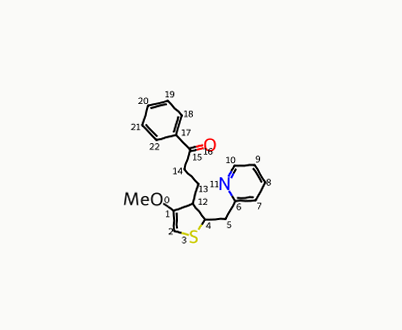 COC1=CSC(Cc2ccccn2)C1CCC(=O)c1ccccc1